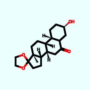 C[C@]12CC[C@H]3[C@@H](CC(=O)C4C[C@@H](O)CC[C@@H]43)[C@@H]1CCC21OCCO1